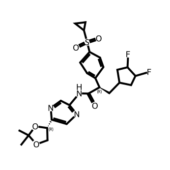 CC1(C)OC[C@@H](c2cnc(NC(=O)[C@H](CC3CC(F)C(F)C3)c3ccc(S(=O)(=O)C4CC4)cc3)cn2)O1